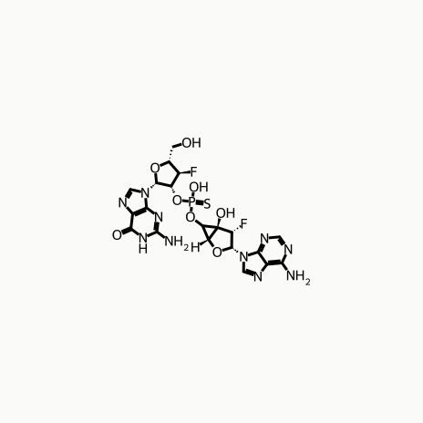 Nc1nc2c(ncn2[C@@H]2O[C@H](CO)[C@@H](F)[C@@H]2OP(O)(=S)OC2[C@H]3O[C@@H](n4cnc5c(N)ncnc54)[C@@H](F)[C@@]23O)c(=O)[nH]1